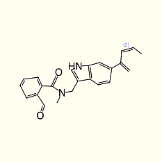 C=C(/C=C\C)c1ccc2c(CN(C)C(=O)c3ccccc3C=O)c[nH]c2c1